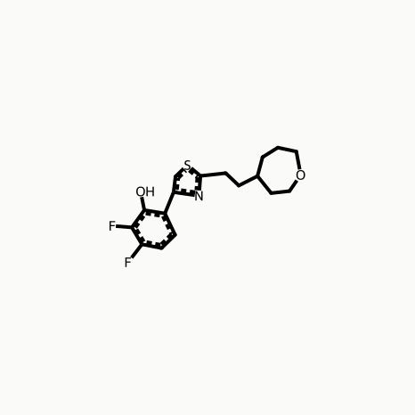 Oc1c(-c2csc(CCC3CCCOCC3)n2)ccc(F)c1F